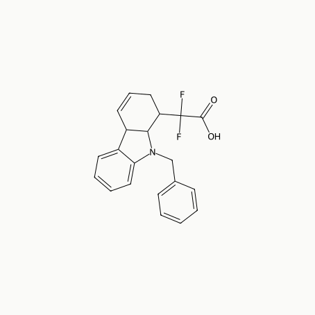 O=C(O)C(F)(F)C1CC=CC2c3ccccc3N(Cc3ccccc3)C21